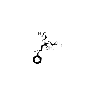 CCOC([SiH3])(CCNc1ccccc1)OCC